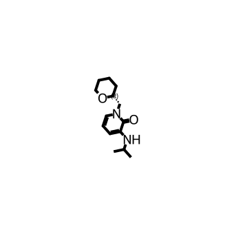 CC(C)Nc1cccn(C[C@H]2CCCCO2)c1=O